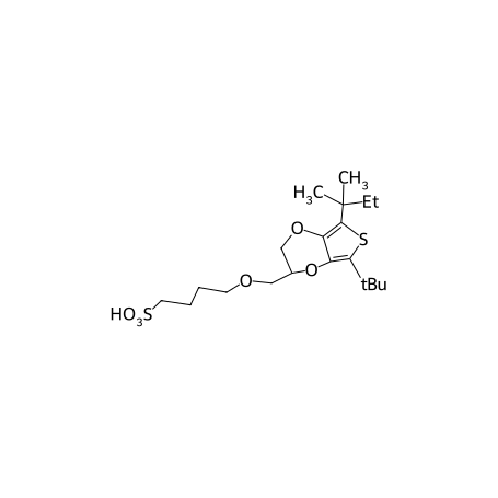 CCC(C)(C)c1sc(C(C)(C)C)c2c1OCC(COCCCCS(=O)(=O)O)O2